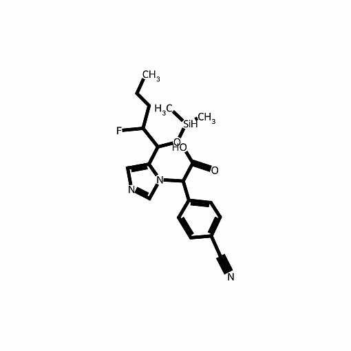 CCCC(F)C(O[SiH](C)C)c1cncn1C(C(=O)O)c1ccc(C#N)cc1